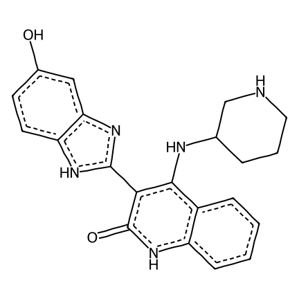 O=c1[nH]c2ccccc2c(NC2CCCNC2)c1-c1nc2cc(O)ccc2[nH]1